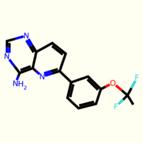 CC(F)(F)Oc1cccc(-c2ccc3ncnc(N)c3n2)c1